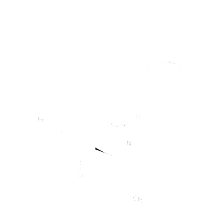 COc1cc(Br)ccc1[C@@H]1CC(O)CCN1C(=O)OCc1ccccc1